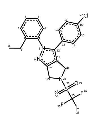 CCc1ccccc1-n1nc2c(c1-c1ccc(Cl)cc1)CN(S(=O)(=O)C(F)(F)F)C2